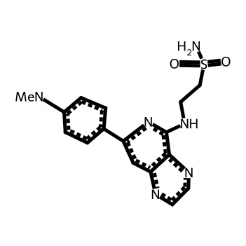 CNc1ccc(-c2cc3nccnc3c(NCCS(N)(=O)=O)n2)cc1